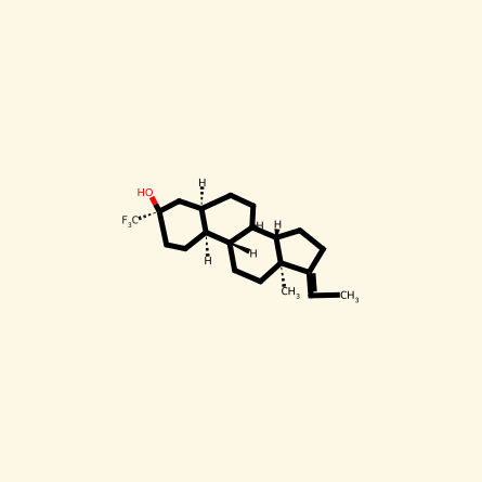 CC=C1CC[C@H]2[C@@H]3CC[C@@H]4C[C@@](O)(C(F)(F)F)CC[C@@H]4[C@H]3CC[C@]12C